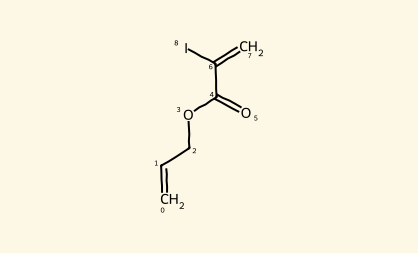 C=CCOC(=O)C(=C)I